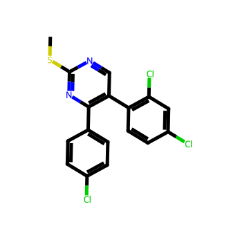 CSc1ncc(-c2ccc(Cl)cc2Cl)c(-c2ccc(Cl)cc2)n1